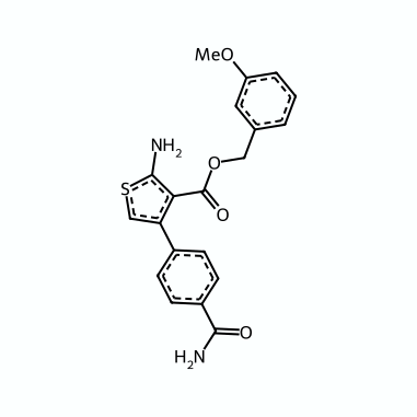 COc1cccc(COC(=O)c2c(-c3ccc(C(N)=O)cc3)csc2N)c1